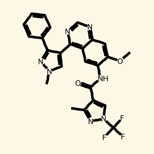 COc1cc2ncnc(-c3cn(C)nc3-c3ccccc3)c2cc1NC(=O)c1cn(C(F)(F)F)nc1C